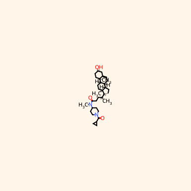 C[C@H](CCC(=O)N(C)C1CCN(C(=O)C2CC2)CC1)[C@H]1CC[C@H]2[C@@H]3CC=C4C[C@@H](O)CC[C@]4(C)[C@H]3CC[C@]12C